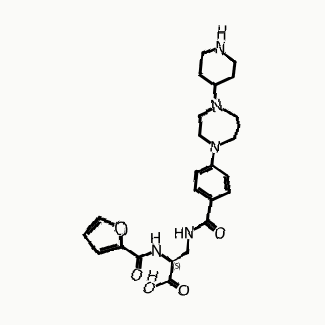 O=C(NC[C@H](NC(=O)c1ccco1)C(=O)O)c1ccc(N2CCN(C3CCNCC3)CC2)cc1